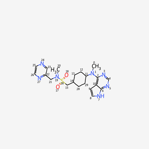 CN(c1ncnc2[nH]ccc12)C1CCC(CS(=O)(=O)N(C)Cc2cnccn2)CC1